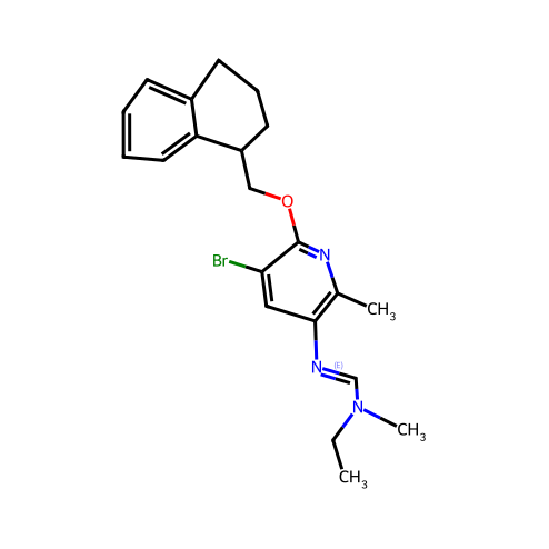 CCN(C)/C=N/c1cc(Br)c(OCC2CCCc3ccccc32)nc1C